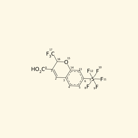 O=C(O)C1=Cc2ccc(S(F)(F)(F)(F)F)cc2OC1C(F)(F)F